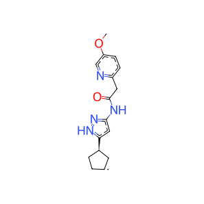 COc1ccc(CC(=O)Nc2cc([C@H]3C[CH]CC3)[nH]n2)nc1